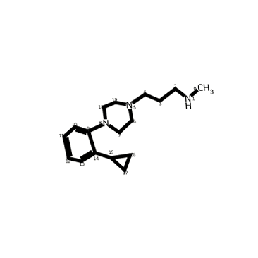 CNCCCN1CCN(c2ccccc2C2CC2)CC1